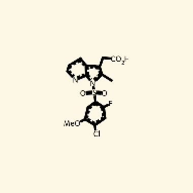 COc1cc(S(=O)(=O)n2c(C)c(CC(=O)O)c3cccnc32)c(F)cc1Cl